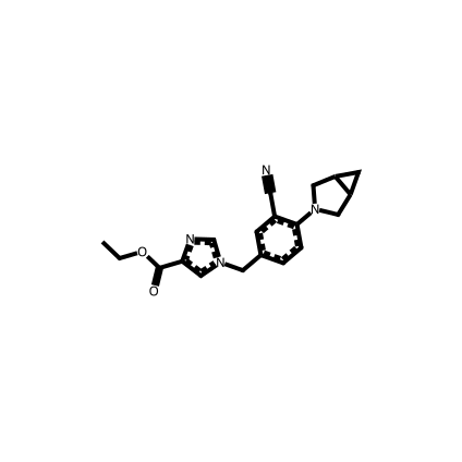 CCOC(=O)c1cn(Cc2ccc(N3CC4CC4C3)c(C#N)c2)cn1